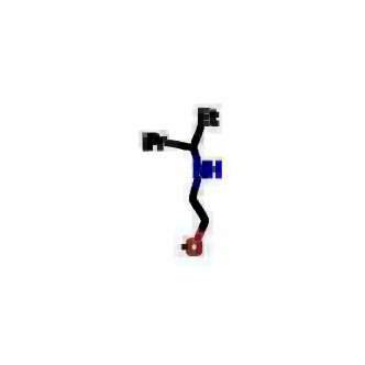 CCC(NCC[O])C(C)C